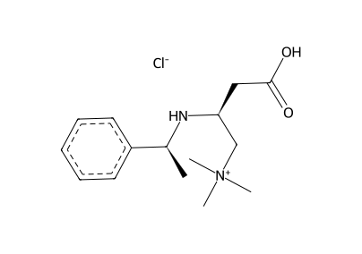 C[C@H](N[C@@H](CC(=O)O)C[N+](C)(C)C)c1ccccc1.[Cl-]